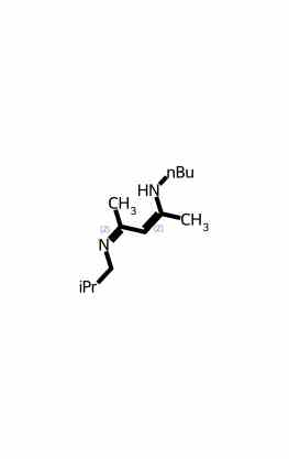 CCCCN/C(C)=C\C(C)=N/CC(C)C